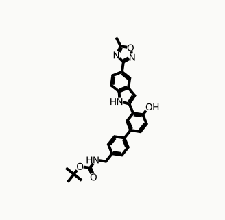 Cc1nc(-c2ccc3[nH]c(-c4cc(-c5ccc(CNC(=O)OC(C)(C)C)cc5)ccc4O)cc3c2)no1